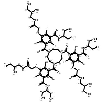 O=C(COc1c(I)c(C(=O)NC(CO)CO)c(I)c(C(=O)N2CCN(C(=O)c3c(I)c(OCC(=O)NCC(O)CO)c(I)c(C(=O)NC(CO)CO)c3I)CCN(C(=O)c3c(I)c(OCC(=O)NCC(O)CO)c(I)c(C(=O)NC(CO)CO)c3I)CC2)c1I)NCC(O)CO